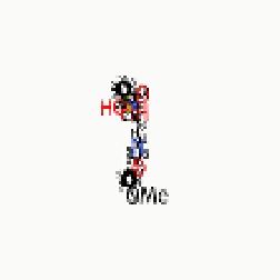 COc1cccc(OC2CCN(CCCCCN3C(=O)c4ccccc4S3(O)O)C2)c1